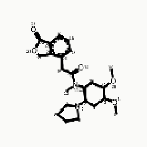 COC1CC(N2CCCC2)C(N(C)C(=O)Cc2cccc3c2COC3=O)CC1OC